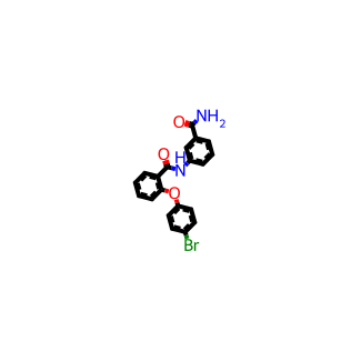 NC(=O)c1cccc(NC(=O)c2ccccc2Oc2ccc(Br)cc2)c1